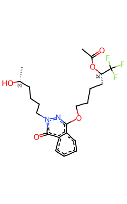 CC(=O)O[C@@H](CCCCOc1nn(CCCC[C@@H](C)O)c(=O)c2ccccc12)C(F)(F)F